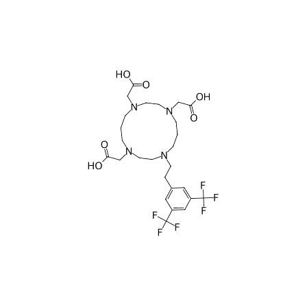 O=C(O)CN1CCCN(CC(=O)O)CCN(CC(=O)O)CCCN(CCc2cc(C(F)(F)F)cc(C(F)(F)F)c2)CC1